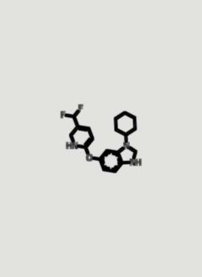 FC(F)C1=CC=C(Oc2ccc3c(c2)N(C2CCCCC2)CN3)NC1